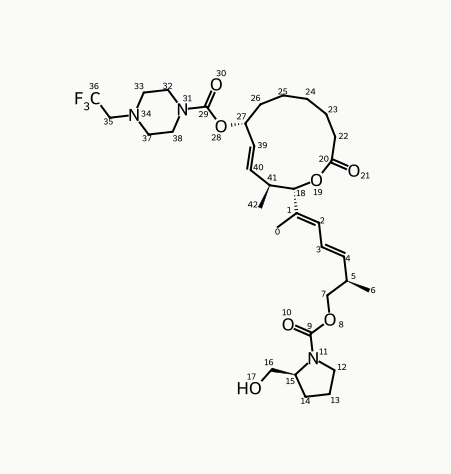 C/C(=C\C=C\[C@@H](C)COC(=O)N1CCC[C@H]1CO)[C@H]1OC(=O)CCCCC[C@@H](OC(=O)N2CCN(CC(F)(F)F)CC2)/C=C/[C@@H]1C